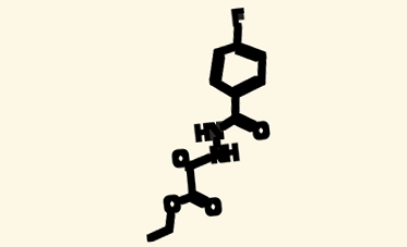 CCOC(=O)C(=O)NNC(=O)c1ccc(F)cc1